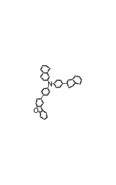 c1ccc2cc(-c3ccc(N(c4ccc(-c5ccc6oc7ccccc7c6c5)cc4)c4ccc5ccccc5c4)cc3)ccc2c1